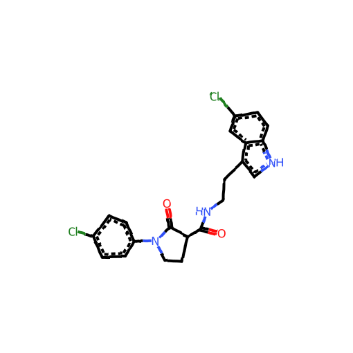 O=C(NCCc1c[nH]c2ccc(Cl)cc12)C1CCN(c2ccc(Cl)cc2)C1=O